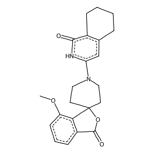 COc1cccc2c1C1(CCN(c3cc4c(c(=O)[nH]3)CCCC4)CC1)OC2=O